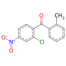 Cc1ccccc1C(=O)c1ccc([N+](=O)[O-])cc1Cl